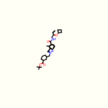 C=CC(CNC(=O)c1ccc2nn(CC3CCCC(C(=O)OC(C)(C)C)C3)cc2c1C)OC1CCC1